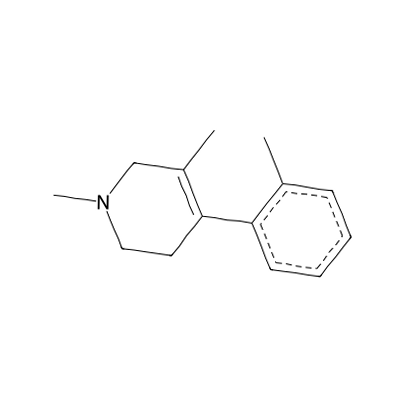 CC1=C(c2ccccc2C)CCN(C)C1